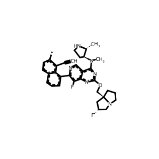 C#Cc1c(F)ccc2cccc(-c3ncc4c(N(C)[C@H]5CCN[C@@H]5C)nc(OC[C@@]56CCCN5C[C@H](F)C6)nc4c3F)c12